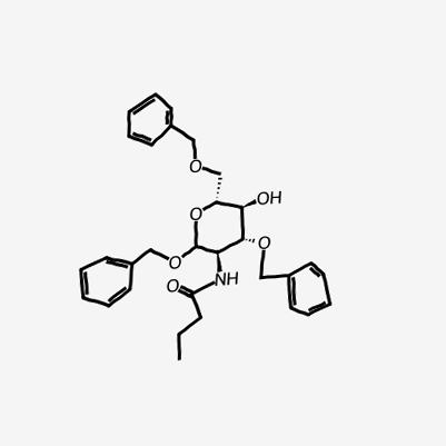 CCCC(=O)N[C@H]1C(OCc2ccccc2)O[C@H](COCc2ccccc2)[C@@H](O)[C@@H]1OCc1ccccc1